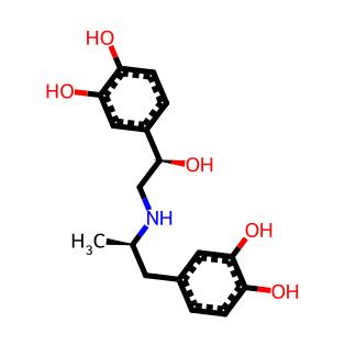 C[C@H](Cc1ccc(O)c(O)c1)NC[C@H](O)c1ccc(O)c(O)c1